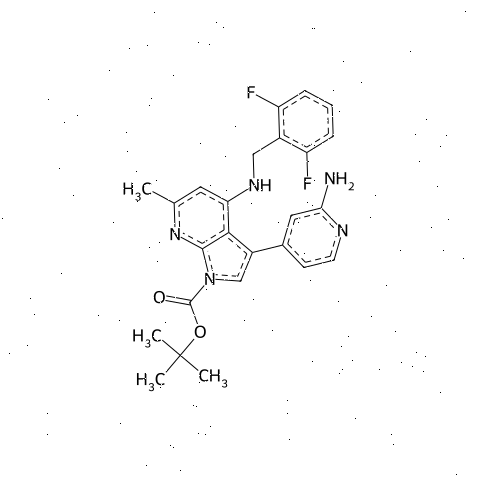 Cc1cc(NCc2c(F)cccc2F)c2c(-c3ccnc(N)c3)cn(C(=O)OC(C)(C)C)c2n1